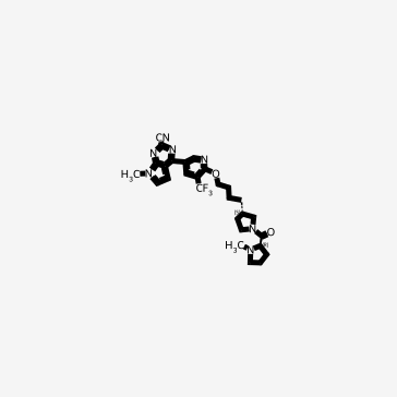 CN1CCC[C@@H]1C(=O)N1CC[C@H](CCCCOc2ncc(-c3nc(C#N)nc4c3ccn4C)cc2C(F)(F)F)C1